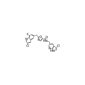 O=C(NCc1cnc2[nH]cc(Cl)c2c1)c1cnc(Cc2cc(F)c3ncc(Cl)cc3c2)o1